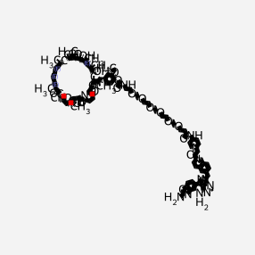 CO[C@H]1C[C@@H]2CC[C@@H](C)[C@@](O)(O2)C(=O)C(=O)N2CCCC[C@H]2C(=O)O[C@H]([C@H](C)C[C@@H]2CC[C@@H](OC(=O)NCCOCCOCCOCCOCCOCCOCCC(=O)NC3CCN(CC(=O)N4CCc5cc(Cn6nc(-c7ccc8oc(N)nc8c7)c7c(N)ncnc76)ccc5C4)CC3)[C@H](OC)C2)C[C@@H](O)[C@H](C)/C=C(\C)[C@@H](O)[C@@H](OC)C(=O)[C@H](C)C[C@H](C)/C=C/C=C/C=C/1C